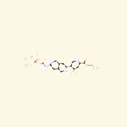 CCCC(=O)c1cc(C)c(-c2cc3cnc(NC(=O)OC(C)(C)C)cc3cn2)cn1